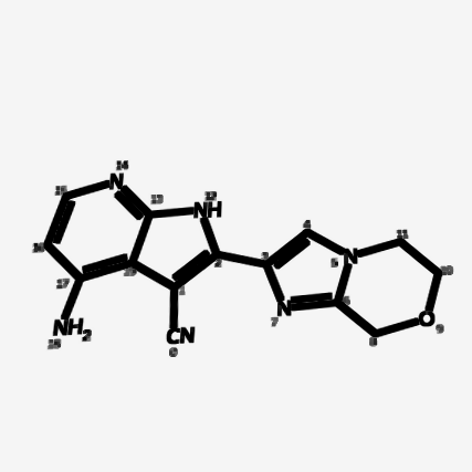 N#Cc1c(-c2cn3c(n2)COCC3)[nH]c2nccc(N)c12